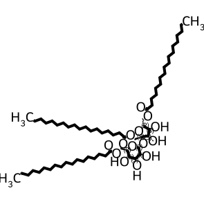 CCCCCCCCCCCCCCCCCC(=O)OC[C@H]1O[C@@](COC(=O)CCCCCCCCCCCCCCCCC)(O[C@H]2O[C@H](COC(=O)CCCCCCCCCCCCCCCCC)[C@@H](O)[C@H](O)[C@H]2O)[C@@H](O)[C@@H]1O